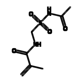 C=C(C)C(=O)NCS(=O)(=O)NC(C)=O